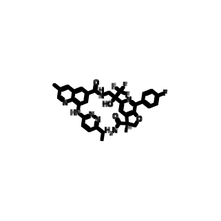 CCc1ccc(Nc2cc(C(=O)NCC(O)(c3cc4c(c(-c5ccc(F)cc5)n3)OC[C@]4(C)C(N)=O)C(F)(F)F)cc3cc(C)cnc23)nn1